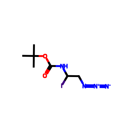 CC(C)(C)OC(=O)NC(I)CN=[N+]=[N-]